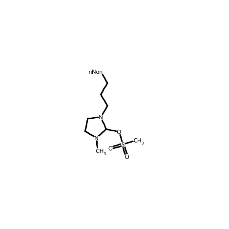 CCCCCCCCCCCCN1CCN(C)C1OS(C)(=O)=O